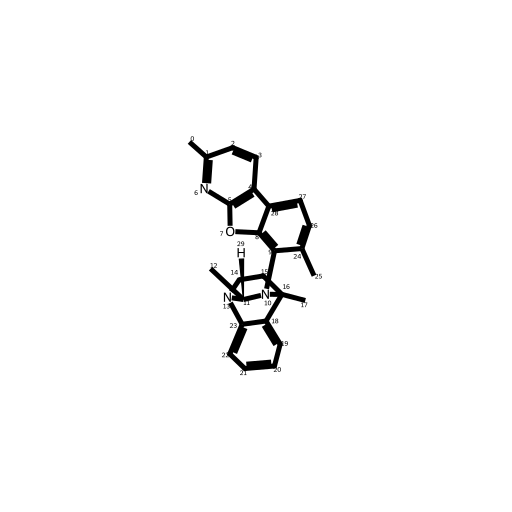 Cc1ccc2c(n1)oc1c(N3[C@@H](C)N4CCC3(C)c3ccccc34)c(C)ccc12